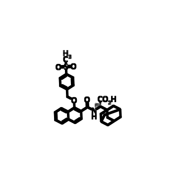 CS(=O)(=O)c1ccc(COc2c(C(=O)N[C@H](C(=O)O)C34CC5CC(CC(C5)C3)C4)ccc3ccccc23)cc1